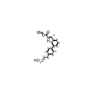 C[C@@H](NC(=O)OC(C)(C)C)c1cccc(-c2ccc(CCC(=O)O)cc2)c1